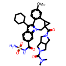 COc1ccc2c(c1)C1CC1(C(=O)N1CC3CN(C(=O)N(C)C)CC3C1)Cn1c-2c(C2CCCCC2)c2ccc(C(=O)NS(N)(=O)=O)cc21